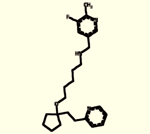 Cc1ncc(CNCCCCCOC2(CCc3ccccn3)CCCC2)cc1F